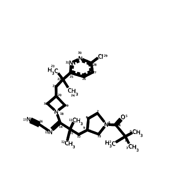 CC(C)(C)C(=O)N1CCC(CC(C)(C)/C(=N/C#N)N2CC(CC(C)(C)c3ccc(Cl)nn3)C2)C1